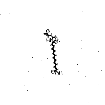 CC(=O)CC[C@@H](C=O)NC(=O)CCCCCCCCCCCCC(=O)O